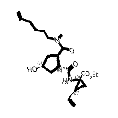 C=CCCCCN(C)C(=O)C1C[C@@H](O)C[C@H]1C(=O)N[C@]1(C(=O)OCC)C[C@H]1C=C